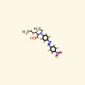 CCCCC(CO)N(CC)c1ccc(/N=N/c2ccc([N+](=O)[O-])cc2)cc1